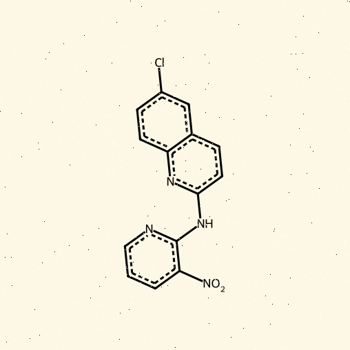 O=[N+]([O-])c1cccnc1Nc1ccc2cc(Cl)ccc2n1